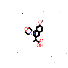 C1COCCN1.COc1ccc2cc(C(C)C(=O)O)ccc2c1